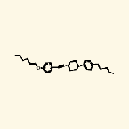 CCCCCCOc1ccc(C#C[C@H]2CC[C@H](c3ccc(CCCCC)cc3)CC2)cc1